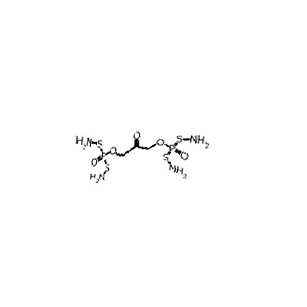 NSP(=O)(OCC(=O)COP(=O)(SN)SN)SN